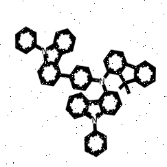 CC1(C)c2ccccc2-c2cccc(N(c3ccc(-c4cccc5c4c4ccccc4n5-c4ccccc4)cc3)c3cccc4c3c3ccccc3n4-c3ccccc3)c21